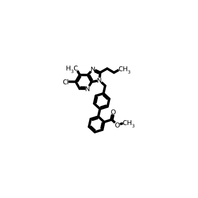 CCCc1nc2c(C)c(Cl)cnc2n1Cc1ccc(-c2ccccc2C(=O)OC)cc1